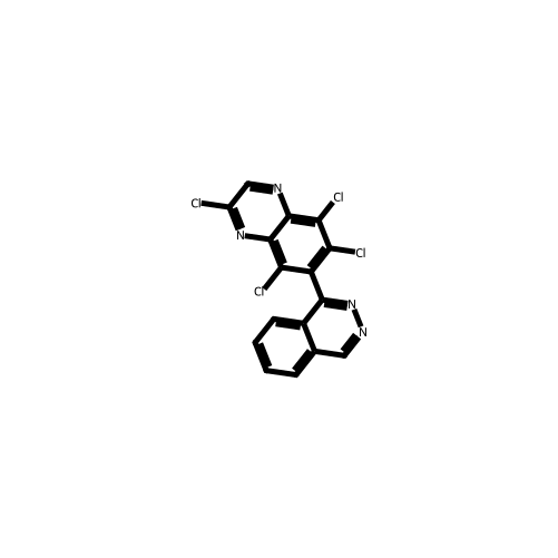 Clc1[c]nc2c(Cl)c(Cl)c(-c3nncc4ccccc34)c(Cl)c2n1